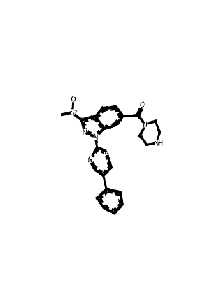 C[S+]([O-])c1nn(-c2ncc(-c3ccccc3)cn2)c2cc(C(=O)N3CCNCC3)ccc12